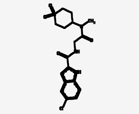 CN(C(=O)CNC(=O)c1cc2cc(Cl)ccc2[nH]1)C1CCS(=O)(=O)CC1